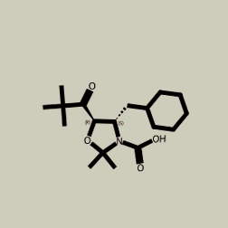 CC(C)(C)C(=O)[C@@H]1OC(C)(C)N(C(=O)O)[C@H]1CC1CCCCC1